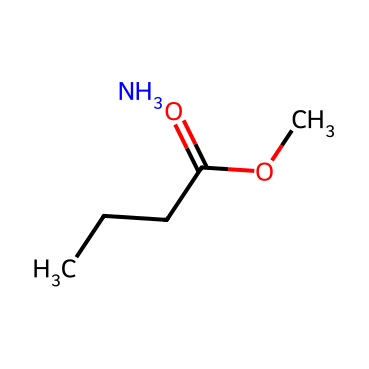 CCCC(=O)OC.N